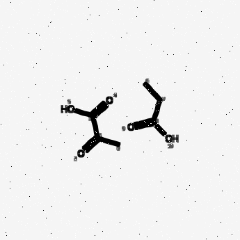 CC(=O)C(=O)O.CCC(=O)O